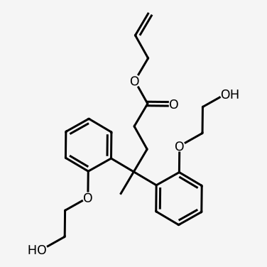 C=CCOC(=O)CCC(C)(c1ccccc1OCCO)c1ccccc1OCCO